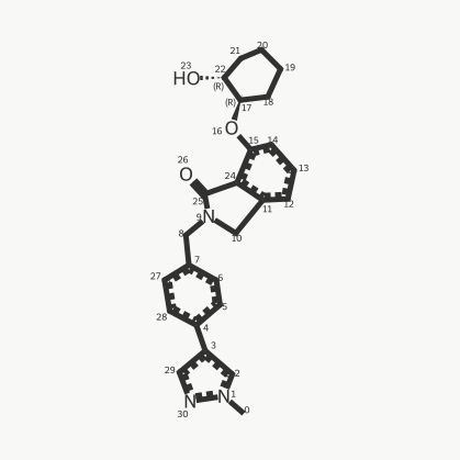 Cn1cc(-c2ccc(CN3Cc4cccc(O[C@@H]5CCCC[C@H]5O)c4C3=O)cc2)cn1